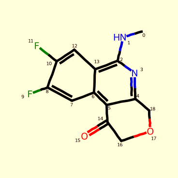 CNc1nc2c(c3cc(F)c(F)cc13)C(=O)COC2